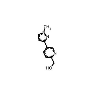 Cn1ccc(-c2ccc(CO)nc2)n1